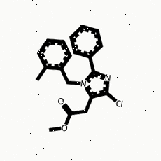 COC(=O)Cc1c(Cl)nc(-c2ccccc2)n1Cc1ccccc1C